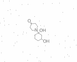 O=C1CCN(C2(O)CCCC(O)C2)CC1